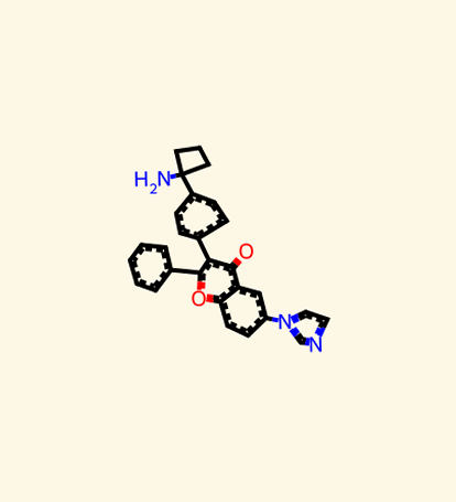 NC1(c2ccc(-c3c(-c4ccccc4)oc4ccc(-n5ccnc5)cc4c3=O)cc2)CCC1